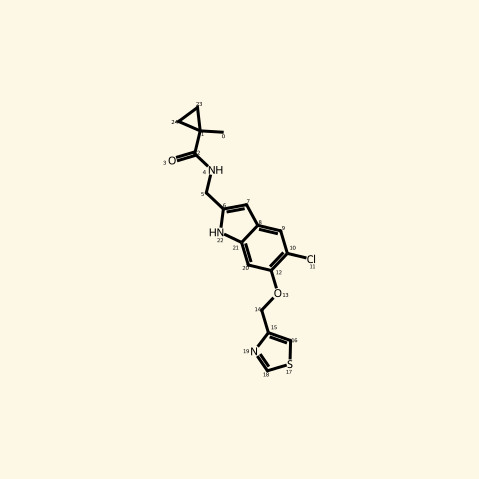 CC1(C(=O)NCc2cc3cc(Cl)c(OCc4cscn4)cc3[nH]2)CC1